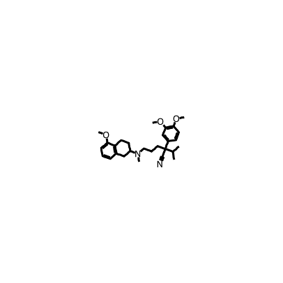 COc1ccc(C(C#N)(CCCN(C)C2CCc3c(cccc3OC)C2)C(C)C)cc1OC